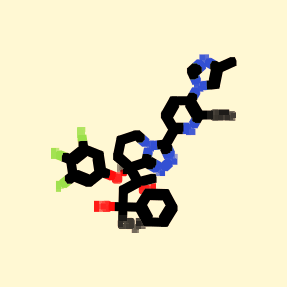 COc1nc(-c2nnc3n2CCC[C@]3(Oc2cc(F)c(F)c(F)c2)C(C)(O)CC(O)(C(=O)O)c2ccccc2)ccc1-n1cnc(C)c1